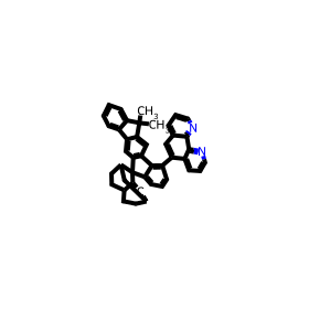 CC1(C)c2ccccc2-c2cc3c(cc21)-c1c(-c2cc4cccnc4c4ncccc24)cccc1C31C2CCC3CCC(C2)CC31